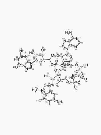 CO[C@@H]1[C@H](OP(=O)([O-])OC[C@H]2O[C@@H](n3cnc4c(=O)[nH]c(N)nc43)[C@H](O)[C@@H]2O)[C@@H](COP(=O)(O)OP(=O)(O)OP(=O)(O)OC[C@H]2O[C@@H](n3c[n+](C)c4c(=O)[nH]c(N)nc43)[C@H](O)[C@@H]2CCNC(C)=O)O[C@H]1n1cnc2c(N)ncnc21